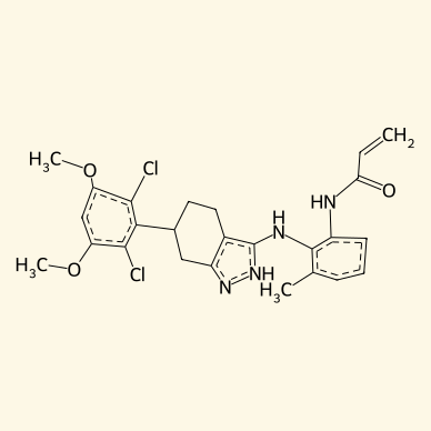 C=CC(=O)Nc1cccc(C)c1Nc1[nH]nc2c1CCC(c1c(Cl)c(OC)cc(OC)c1Cl)C2